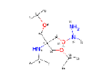 CC(C)NC(COC(C)C)(COC(C)C)CON(C)N